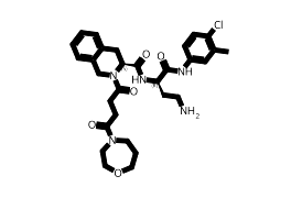 Cc1cc(NC(=O)[C@@H](CCN)NC(=O)[C@@H]2Cc3ccccc3CN2C(=O)CCC(=O)N2CCCOCC2)ccc1Cl